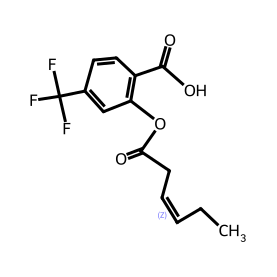 CC/C=C\CC(=O)Oc1cc(C(F)(F)F)ccc1C(=O)O